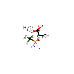 CCC(=O)OC.N[S+]([O-])C(F)(F)F